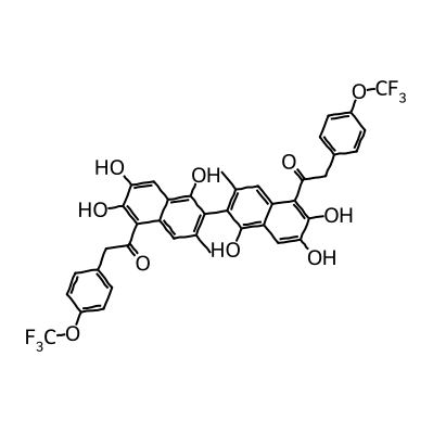 Cc1cc2c(C(=O)Cc3ccc(OC(F)(F)F)cc3)c(O)c(O)cc2c(O)c1-c1c(C)cc2c(C(=O)Cc3ccc(OC(F)(F)F)cc3)c(O)c(O)cc2c1O